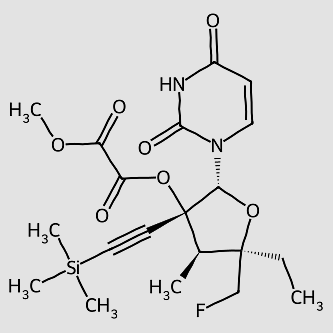 CC[C@@]1(CF)O[C@@H](n2ccc(=O)[nH]c2=O)[C@@](C#C[Si](C)(C)C)(OC(=O)C(=O)OC)[C@@H]1C